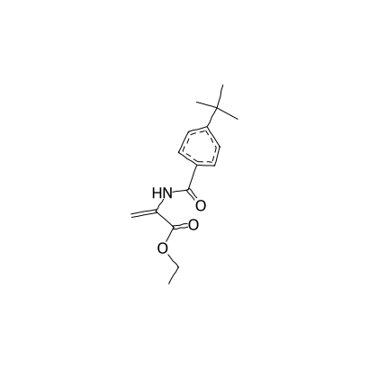 C=C(NC(=O)c1ccc(C(C)(C)C)cc1)C(=O)OCC